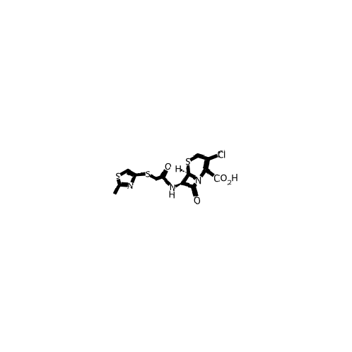 Cc1nc(SCC(=O)N[C@@H]2C(=O)N3C(C(=O)O)=C(Cl)CS[C@H]23)cs1